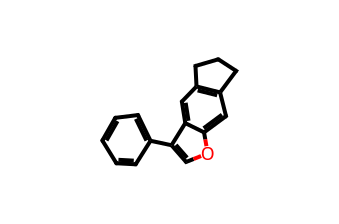 c1ccc(-c2coc3cc4c(cc23)CCC4)cc1